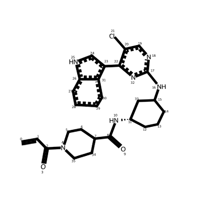 C=CC(=O)N1CCC(C(=O)N[C@H]2CCCC(Nc3ncc(Cl)c(-c4c[nH]c5ccccc45)n3)C2)CC1